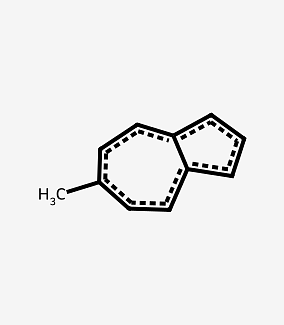 Cc1ccc2cccc-2cc1